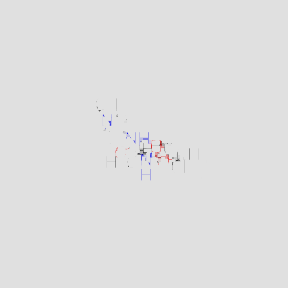 CCN1CCC(NC(=O)C(C)(C)NC(=O)OC(C)(C)C)CC1